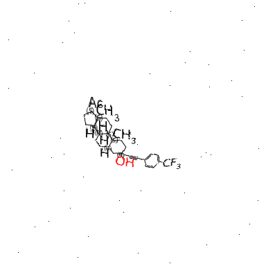 CC(=O)[C@H]1CC[C@H]2[C@@H]3CC[C@@H]4C[C@@](O)(C#Cc5ccc(C(F)(F)F)cc5)CC[C@]4(C)[C@H]3CC[C@]12C